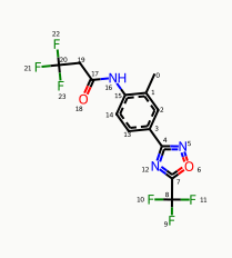 Cc1cc(-c2noc(C(F)(F)F)n2)ccc1NC(=O)CC(F)(F)F